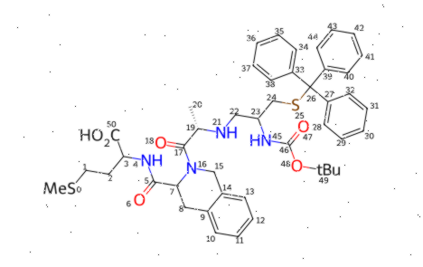 CSCCC(NC(=O)C1Cc2ccccc2CN1C(=O)[C@H](C)NCC(CSC(c1ccccc1)(c1ccccc1)c1ccccc1)NC(=O)OC(C)(C)C)C(=O)O